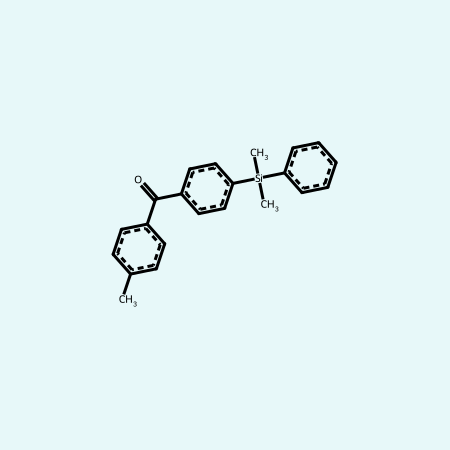 Cc1ccc(C(=O)c2ccc([Si](C)(C)c3ccccc3)cc2)cc1